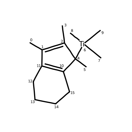 CC1=C(C)[C](C)([Ti]([CH3])([CH3])[CH3])C2=C1CCCC2